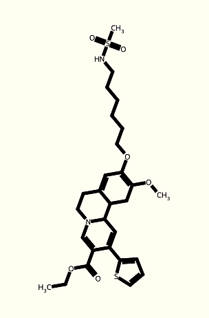 CCOC(=O)C1=CN2CCC3=CC(OCCCCCCNS(C)(=O)=O)=C(OC)CC3C2C=C1c1cccs1